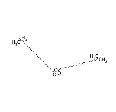 CC(C)CCCCCCCCCCCCCCCCCCC(=O)OC(=O)CCCCCCCCCCCCCCCCC(C)C